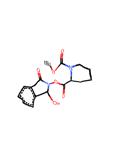 CC(C)(C)OC(=O)N1CCCCC1C(=O)ON1C(=O)c2ccccc2C1O